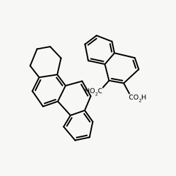 O=C(O)c1ccc2ccccc2c1C(=O)O.c1ccc2c(c1)ccc1c3c(ccc12)CCCC3